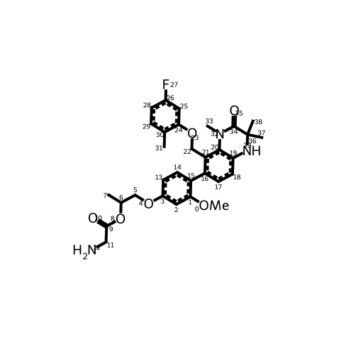 COc1cc(OCC(C)OC(=O)CN)ccc1-c1ccc2c(c1COc1cc(F)ccc1C)N(C)C(=O)C(C)(C)N2